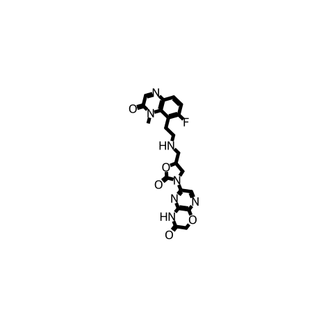 Cn1c(=O)cnc2ccc(F)c(CCNCC3CN(c4cnc5c(n4)NC(=O)CO5)C(=O)O3)c21